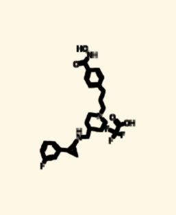 O=C(NO)c1ccc(CCCN2CCC(CNC3CC3c3cccc(F)c3)CC2)cc1.O=C(O)C(F)(F)F